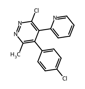 Cc1nnc(Cl)c(-c2ccccn2)c1-c1ccc(Cl)cc1